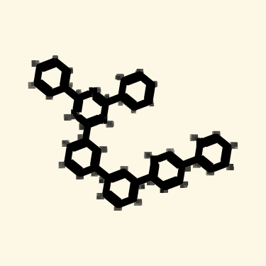 c1ccc(-c2nc(-c3ccccc3)nc(-c3cccc(-c4cccc(-c5ccc(-c6ccccn6)cn5)c4)c3)n2)cc1